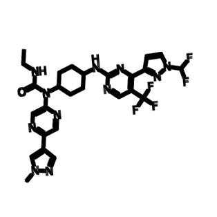 CCNC(=O)N(c1cnc(-c2cnn(C)c2)cn1)C1CCC(Nc2ncc(C(F)(F)F)c(-c3ccn(C(F)F)n3)n2)CC1